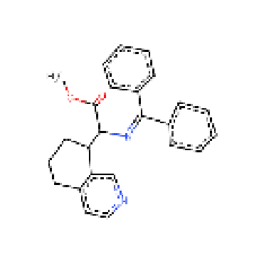 COC(=O)C(N=C(c1ccccc1)c1ccccc1)C1CCCc2ccncc21